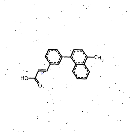 Cc1ccc(-c2cccc(/C=C/C(=O)O)c2)c2ccccc12